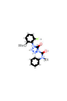 CCN(C(=O)n1nnn(-c2c(F)cccc2OC)c1=O)c1ccccc1